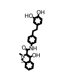 CN1Sc2ccccc2C(O)=C1C(=O)Nc1ccc(CCc2ccc(O)c(O)c2)cc1